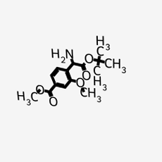 COC(=O)c1ccc(C(N)C(=O)OC(C)(C)C)c(OC)c1